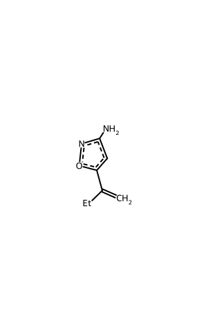 C=C(CC)c1cc(N)no1